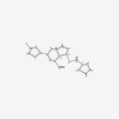 COc1cc(-c2cnn(C)c2)cn2ncc(CNc3cnns3)c12